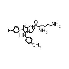 Cc1ccc(Nc2c(-c3ccc(F)cc3)nc3n2CCN(C(=O)[C@@H](N)CCCCN)C3)cc1